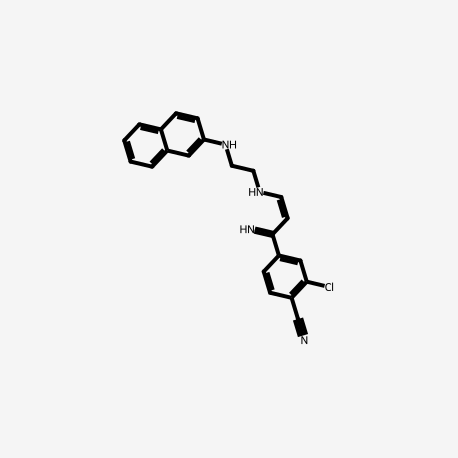 N#Cc1ccc(C(=N)/C=C\NCCNc2ccc3ccccc3c2)cc1Cl